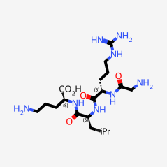 CC(C)C[C@H](NC(=O)[C@H](CCCNC(=N)N)NC(=O)CN)C(=O)N[C@@H](CCCN)C(=O)O